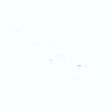 CCc1c(N(C)C[C@@H](NC(=O)N[C@H](C(=O)N2C[C@H]3[C@@H]([C@H]2C(=O)NC(CC2CC2)C(=O)C(N)=O)C3(C)C)C(C)(C)C)C(C)(C)C)c(=O)c1=O